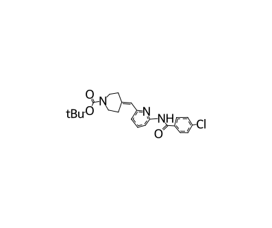 CC(C)(C)OC(=O)N1CCC(=Cc2cccc(NC(=O)c3ccc(Cl)cc3)n2)CC1